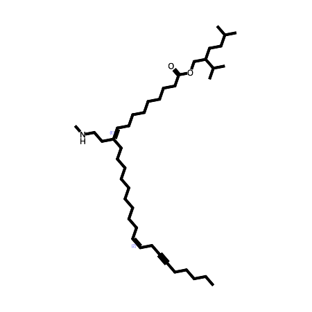 CCCCCC#CC/C=C\CCCCCCCCC/C(=C\CCCCCCCC(=O)OCC(CCC(C)C)C(C)C)CCNC